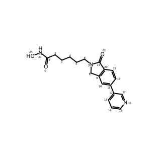 O=C(CCCCCN1Cc2cc(-c3cccnc3)ccc2C1=O)NO